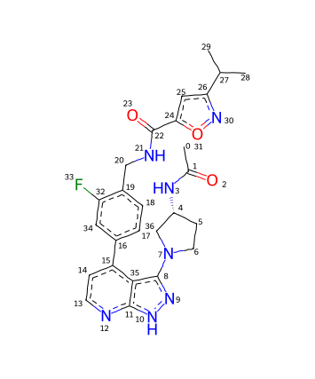 CC(=O)N[C@@H]1CCN(c2n[nH]c3nccc(-c4ccc(CNC(=O)c5cc(C(C)C)no5)c(F)c4)c23)C1